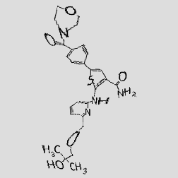 CC(C)(O)COCc1cccc(Nc2sc(-c3ccc(C(=O)N4CCOCC4)cc3)cc2C(N)=O)n1